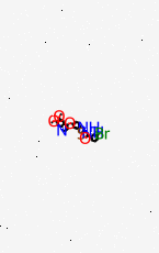 COc1cc2nccc(Oc3ccc(NC(=S)NC(=O)c4cccc(Br)c4)cc3)c2cc1OC